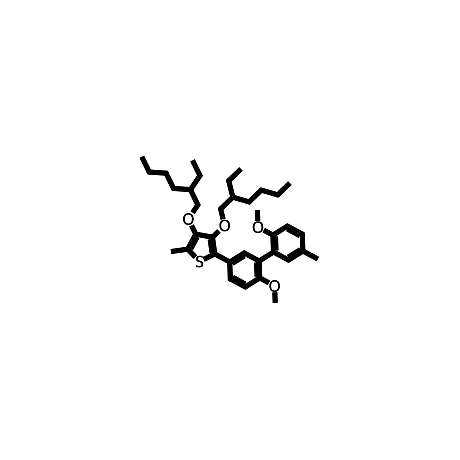 CCCCC(CC)COc1c(C)sc(-c2ccc(OC)c(-c3cc(C)ccc3OC)c2)c1OCC(CC)CCCC